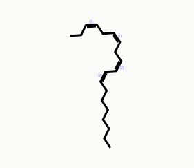 CC/C=C\C/C=C\C/C=C\C=C/CCCCCCC